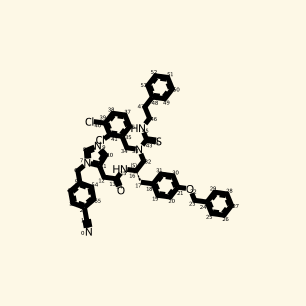 N#Cc1ccc(Cn2cncc2CC(=O)N[C@@H](Cc2ccc(OCc3ccccc3)cc2)CN(Cc2cccc(Cl)c2Cl)C(=S)NCCc2ccccc2)cc1